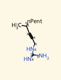 CCCCCC(C)C#CCNC(=N)N